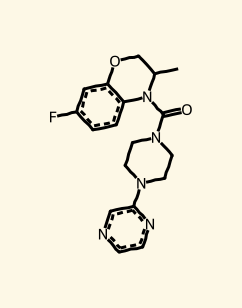 CC1COc2cc(F)ccc2N1C(=O)N1CCN(c2cnccn2)CC1